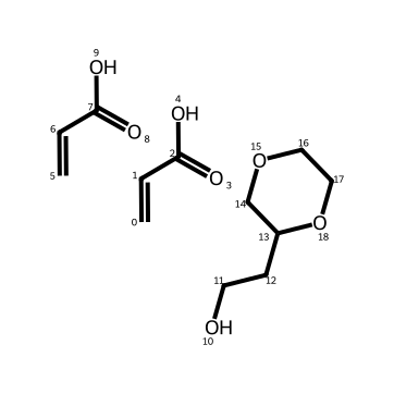 C=CC(=O)O.C=CC(=O)O.OCCC1COCCO1